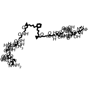 CC(C)(COP(=O)(O)OP(=O)(O)OCC1OC(n2cnc3c(N)ncnc32)C(O)C1OP(=O)(O)O)C(O)C(=O)NCCC(=O)NCCC(=O)CC1(CCCCc2ccccc2CCCCC2(CC(=O)CCNC(=O)CCNC(=O)C(O)C(C)(C)COP(=O)(O)OP(=O)(O)OCC3OC(n4cnc5c(N)ncnc54)C(O)C3OP(=O)(O)O)CC2)CC1